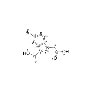 CC(O)c1cn(CC(=O)O)c2ccc(Br)cc12